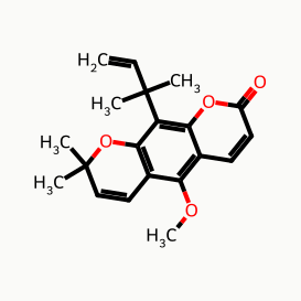 C=CC(C)(C)c1c2c(c(OC)c3ccc(=O)oc13)C=CC(C)(C)O2